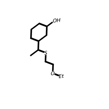 CCOCCSC(C)C1CCCC(O)C1